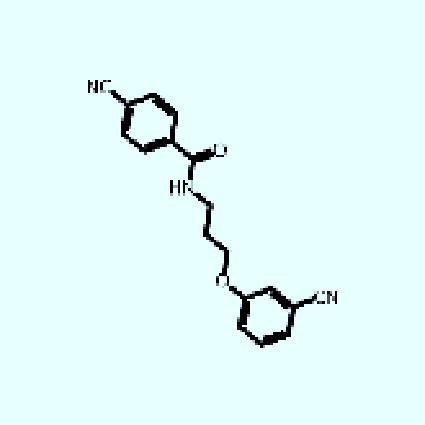 N#Cc1ccc(C(=O)NCCCOc2cccc(C#N)c2)cc1